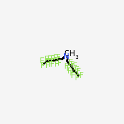 CN(CCC(F)(F)C(F)(F)C(F)(F)C(F)(F)C(F)(F)C(F)F)CCC(F)(F)C(F)(F)C(F)(F)C(F)(F)C(F)(F)C(F)F